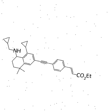 CCOC(=O)C=Cc1ccc(C#Cc2cc(C3CC3)c3c(c2)C(C)(C)CCC3NCC2CC2)cc1